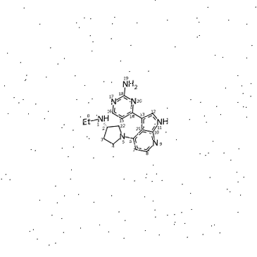 CCN[C@H]1CCN(c2ccnc3[nH]cc(-c4ccnc(N)n4)c23)C1